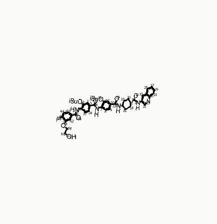 CC(C)COc1cc(C(=O)Nc2ccc(C(=O)N[C@H]3CC[C@H](C(=O)Nc4cnc5ccccc5c4)CC3)cc2OCC(C)C)ccc1NC(=O)c1ccc(F)c(OCCO)c1